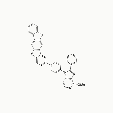 COc1nccc2c1nc(-c1ccccc1)n2-c1ccc(-c2ccc3oc4cc5c(cc4c3c2)oc2ccccc25)cc1